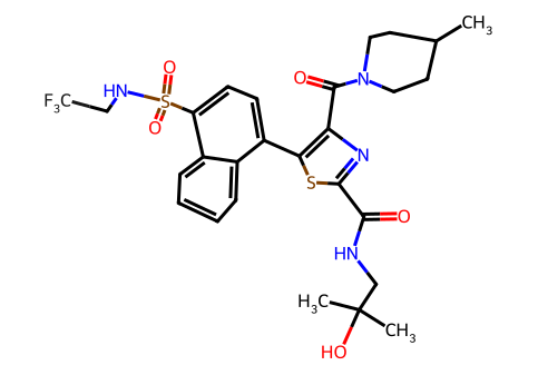 CC1CCN(C(=O)c2nc(C(=O)NCC(C)(C)O)sc2-c2ccc(S(=O)(=O)NCC(F)(F)F)c3ccccc23)CC1